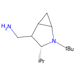 CC(C)[C@@H]1C(CN)C2CC2N1C(C)(C)C